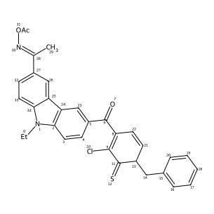 CCn1c2ccc(C(=O)C3=C(Cl)C(=S)C(Cc4ccccc4)C=C3)cc2c2cc(C(C)=NOC(C)=O)ccc21